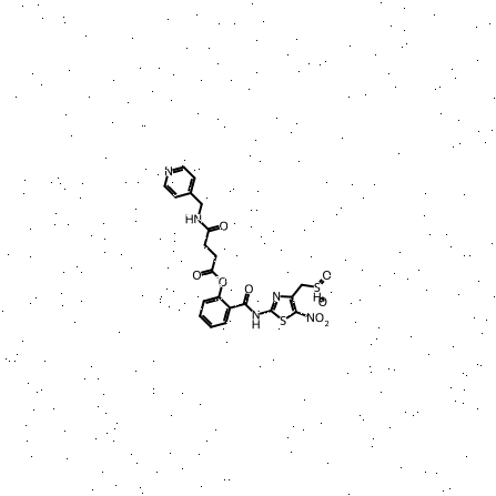 O=C(CCC(=O)Oc1ccccc1C(=O)Nc1nc(C[SH](=O)=O)c([N+](=O)[O-])s1)NCc1ccncc1